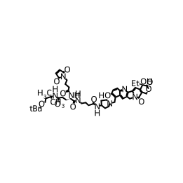 CC[C@@]1(O)C(=O)OCc2c1cc1n(c2=O)Cc2cc3c(CN4CCC(NC(=O)CCCNC(=O)[C@H](CCC(=O)NC(C)(C)CCOC(C)(C)C)NC(=O)CCCN5C(=O)C=CC5=O)CC4)c(O)ccc3nc2-1